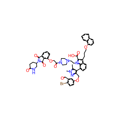 Cc1c(-c2cccc3c(CCCOc4cccc5ccccc45)c(C(=O)O)n(CCN4CCN(C(=O)COc5cccc6c5C(=O)N(C5CCC(=O)NC5)C6=O)CC4)c23)c(COc2ccc(Br)c(C=O)c2)nn1C